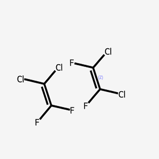 F/C(Cl)=C(\F)Cl.FC(F)=C(Cl)Cl